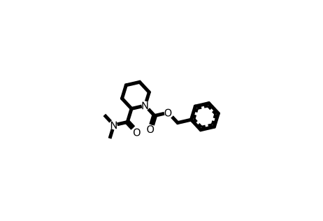 CN(C)C(=O)C1CCCCN1C(=O)OCc1ccccc1